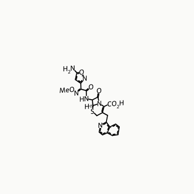 CON=C(C(=O)NC1C(=O)N2C(C(=O)O)=C(Cc3nccc4ccccc34)CS[C@@H]12)c1cc(N)on1